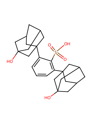 O=S(=O)(O)c1c(C23CC4CC(CC(O)(C4)C2)C3)cccc1C12CC3CC(CC(O)(C3)C1)C2